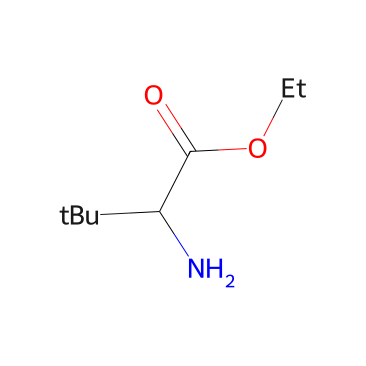 CCOC(=O)C(N)C(C)(C)C